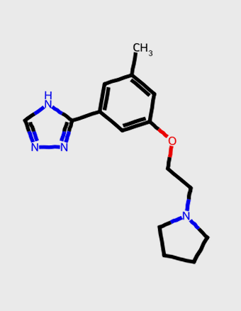 Cc1cc(OCCN2CCCC2)cc(-c2nnc[nH]2)c1